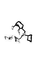 Cl.Cl.NCCN(Cc1cccc(Cl)c1F)C1CCC1